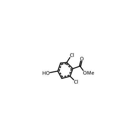 COC(=O)c1c(Cl)cc(O)cc1Cl